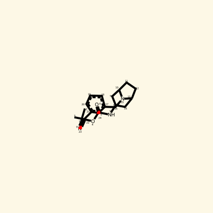 CC(C)(C)OC(=O)NC1CC2CCC(C1)N2Cc1cccc(C#N)c1